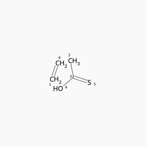 C=C.CC(O)=S